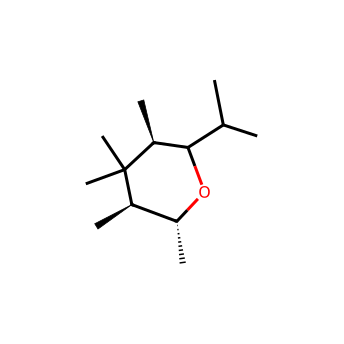 CC(C)C1O[C@H](C)[C@@H](C)C(C)(C)[C@H]1C